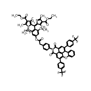 CCOC(=O)C1=C(C)/C(=C(\c2c(OC)cc(OC(=O)Cc3ccc(-n4c(=O)c5cc(-c6ccc(C(F)(F)F)cc6)c6oc7ccccc7c7c(-c8ccc(C(F)(F)F)cc8)cc(c4=O)c5c67)cc3)cc2OC)c2c(C)c(C(=O)OCC)c(C)n2B(F)F)N=C1C